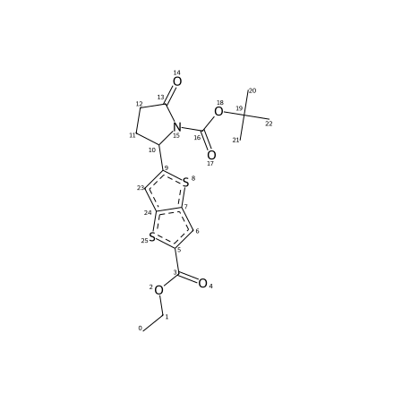 CCOC(=O)c1cc2sc(C3CCC(=O)N3C(=O)OC(C)(C)C)cc2s1